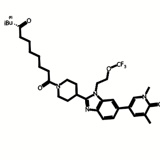 CC[C@@H](C)C(=O)CCCCCCC(=O)N1CCC(c2nc3ccc(-c4cc(C)c(=O)n(C)c4)cc3n2CCOC(F)(F)F)CC1